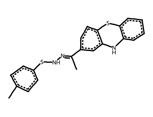 C/C(=N\NSc1ccc(C)cc1)c1ccc2c(c1)Nc1ccccc1S2